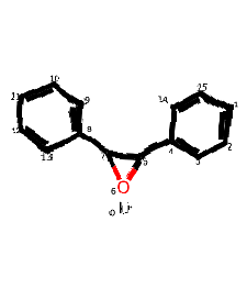 [Li].c1ccc(C2OC2c2ccccc2)cc1